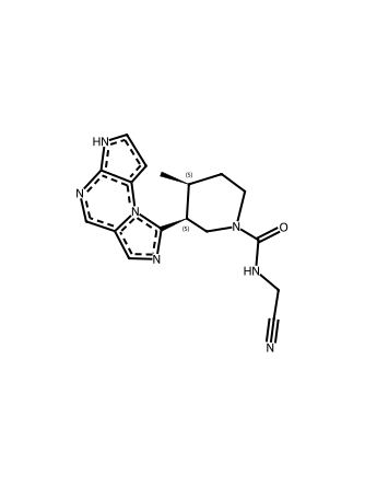 C[C@H]1CCN(C(=O)NCC#N)C[C@H]1c1ncc2cnc3[nH]ccc3n12